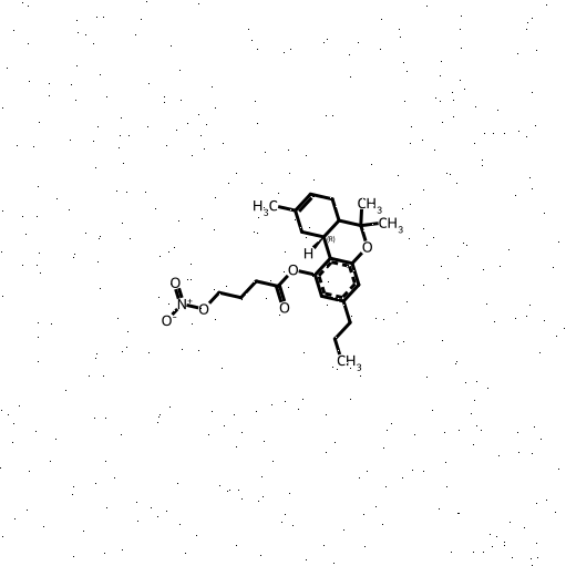 CCCc1cc(OC(=O)CCCO[N+](=O)[O-])c2c(c1)OC(C)(C)C1CC=C(C)C[C@@H]21